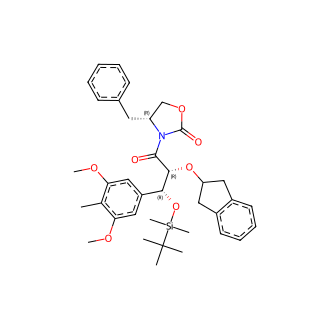 COc1cc([C@@H](O[Si](C)(C)C(C)(C)C)[C@@H](OC2Cc3ccccc3C2)C(=O)N2C(=O)OC[C@H]2Cc2ccccc2)cc(OC)c1C